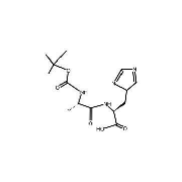 C[C@H](NC(=O)OC(C)(C)C)C(=O)N[C@@H](CC1C=NC=N1)C(=O)O